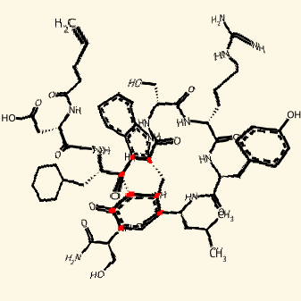 C=CCCC(=O)N[C@@H](CC(=O)O)C(=O)N[C@@H](CC1CCCCC1)C(=O)N[C@@H](Cc1ccccc1)C(=O)N[C@H](CO)C(=O)N[C@H](CCCNC(=N)N)C(=O)N[C@@H](Cc1ccc(O)cc1)C(=O)N[C@@H](CC(C)C)C(=O)N[C@@H](Cc1c[nH]c2ccccc12)C(=O)N[C@@H](CO)C(N)=O